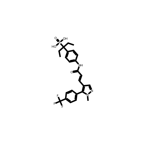 CCC(CC)(c1ccc(NC(=O)C=Cc2cnn(C)c2-c2ccc(C(F)(F)F)cc2)cc1)P(=O)(O)O